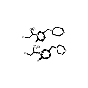 CC(C)CC(C(=O)O)n1cc(CN2CCOCC2)ccc1=O.CCOC(=O)C(CC(C)C)n1cc(CN2CCOCC2)ccc1=O